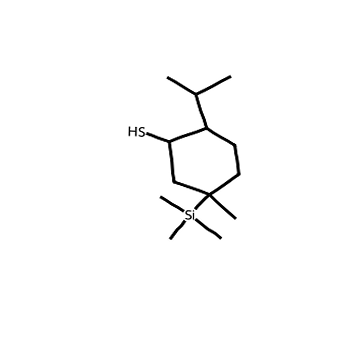 CC(C)C1CCC(C)([Si](C)(C)C)CC1S